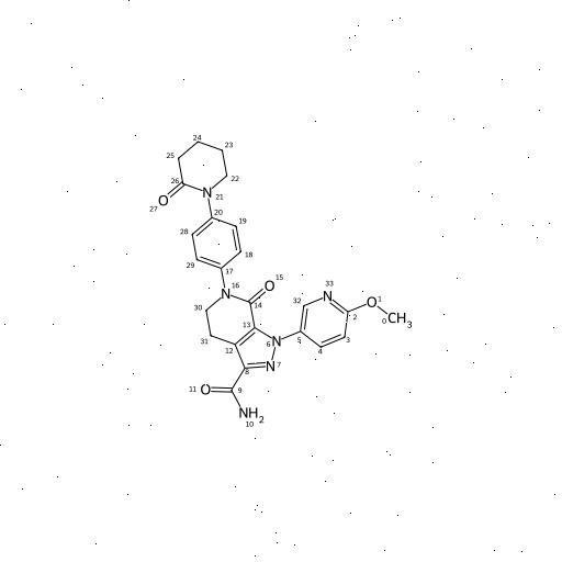 COc1ccc(-n2nc(C(N)=O)c3c2C(=O)N(c2ccc(N4CCCCC4=O)cc2)CC3)cn1